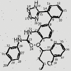 CCCC(Oc1ccc(-c2ccccc2-c2nnn[nH]2)cc1NC(=O)Nc1ccc(C)cc1)c1ccccc1Cl